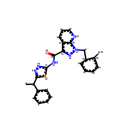 CC(c1ccccc1)c1nnc(NC(=O)c2nn(Cc3ccccc3F)c3ncccc23)s1